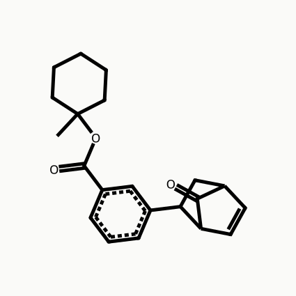 CC1(OC(=O)c2cccc(C3CC4C=CC3C4=O)c2)CCCCC1